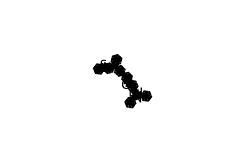 c1ccc(-c2nc(-c3ccccc3)nc(-c3ccc4c(c3)oc3cc(-c5ccc(N(c6ccccc6)c6ccc7c(c6)sc6ccccc67)cc5)ccc34)n2)cc1